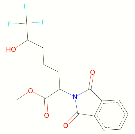 COC(=O)C(CCCC(O)C(F)(F)F)N1C(=O)c2ccccc2C1=O